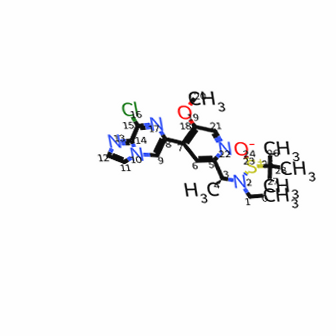 CCN([C@H](C)c1cc(-c2cn3ccnc3c(Cl)n2)c(OC)cn1)[S+]([O-])C(C)(C)C